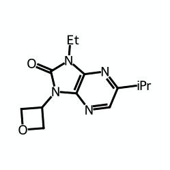 CCn1c(=O)n(C2COC2)c2ncc(C(C)C)nc21